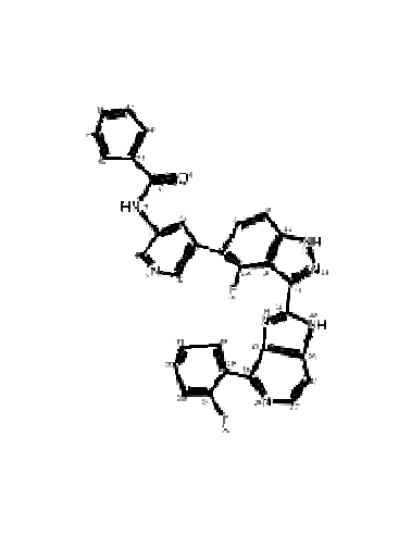 O=C(Nc1cncc(-c2ccc3[nH]nc(-c4nc5c(-c6ccccc6F)nccc5[nH]4)c3c2F)c1)c1ccccc1